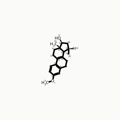 COc1ccc2c(c1)CCC1=C2CC[C@]2(C)[C@@H](O)C[C@@H]3C[C@@]132